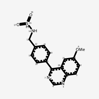 COc1ccc2ncnc(-c3ccc(CN[SH](=O)=O)cc3)c2c1